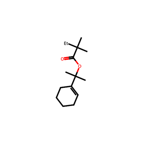 CCC(C)(C)C(=O)OC(C)(C)C1=CCCCC1